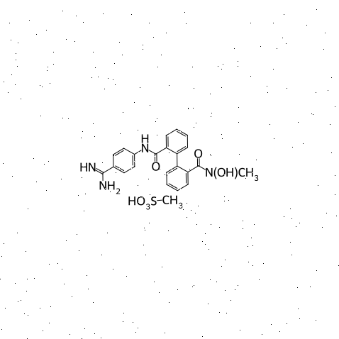 CN(O)C(=O)c1ccccc1-c1ccccc1C(=O)Nc1ccc(C(=N)N)cc1.CS(=O)(=O)O